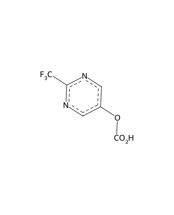 O=C(O)Oc1cnc(C(F)(F)F)nc1